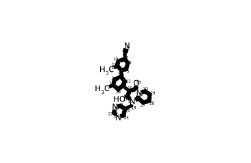 Cc1cc(-c2ccc(C#N)cc2C)cc(-c2c(O)[n+](Cc3cncnc3)c3ccccn3c2=O)c1